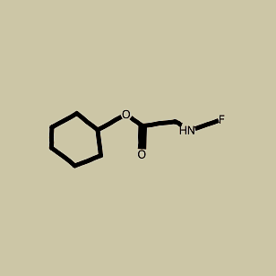 O=C(CNF)OC1CCCCC1